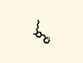 CCCCCc1cc(Cc2ccccn2)ccc1C